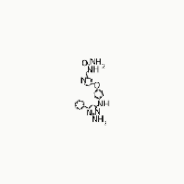 NC(=O)NCc1cc(Oc2ccc(Nc3cc(-c4ccccc4)nc(N)n3)cc2)ccn1